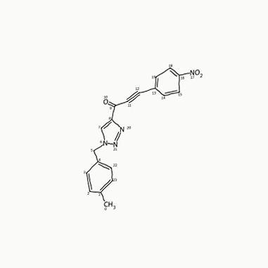 Cc1ccc(Cn2cc(C(=O)C#Cc3ccc([N+](=O)[O-])cc3)nn2)cc1